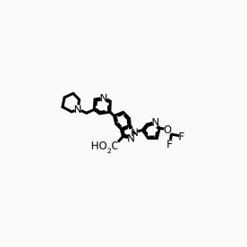 O=C(O)c1nn(-c2ccc(OC(F)F)nc2)c2ccc(-c3cncc(CN4CCCCC4)c3)cc12